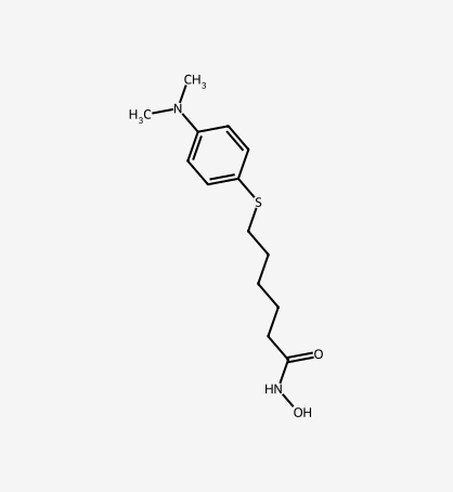 CN(C)c1ccc(SCCCCCC(=O)NO)cc1